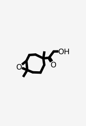 CC1(C(=O)CO)CCCC2(C)OC2CC1